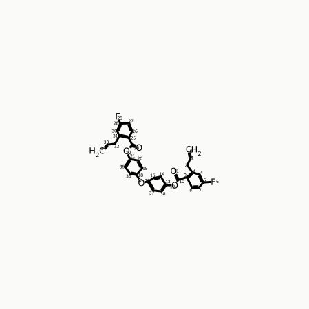 C=CCc1cc(F)ccc1C(=O)Oc1ccc(Oc2ccc(OC(=O)c3ccc(F)cc3CC=C)cc2)cc1